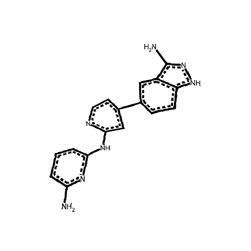 Nc1cccc(Nc2cc(-c3ccc4[nH]nc(N)c4c3)ccn2)n1